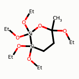 CCOC1(C)CC[Si](OCC)(OCC)[Si](OCC)(OCC)O1